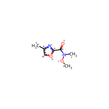 CON(C)C(=O)c1nc(C)co1